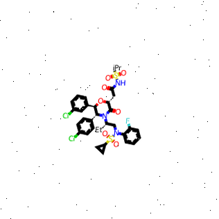 CC[C@@H](CN(c1ccccc1F)S(=O)(=O)C1CC1)N1C(=O)[C@@H](CC(=O)NS(=O)(=O)C(C)C)O[C@H](c2cccc(Cl)c2)[C@H]1c1ccc(Cl)cc1